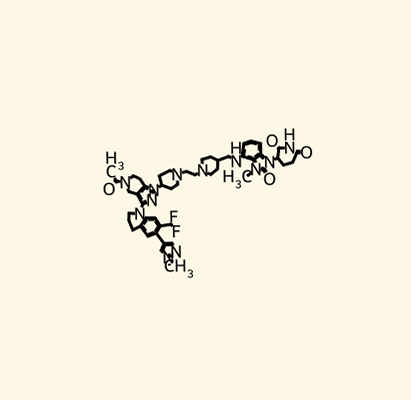 CC(=O)N1CCc2c(c(N3CCCc4cc(-c5cnn(C)c5)c(C(F)F)cc43)nn2C2CCN(CCN3CCC(CNc4cccc5c4n(C)c(=O)n5C4CCC(=O)NC4=O)CC3)CC2)C1